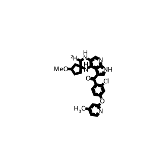 [2H]C1Nc2cnc3[nH]cc(C(=O)c4ccc(Oc5cc(C)ccn5)cc4Cl)c3c2NC12CCC(OC)C2